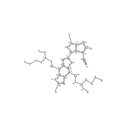 CCCCC(CC)COc1c2cc(-c3sc(C)c4sc(C)c(C#N)c34)sc2c(OCC(CC)CCCC)c2cc(C)sc12